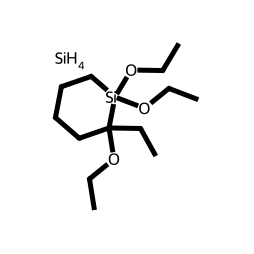 CCOC1(CC)CCCC[Si]1(OCC)OCC.[SiH4]